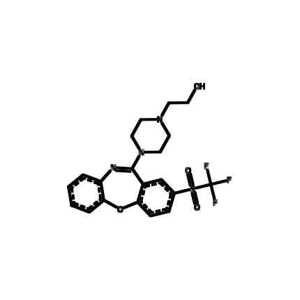 O=S(=O)(c1ccc2c(c1)C(N1CCN(CCO)CC1)=Nc1ccccc1O2)C(F)(F)F